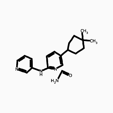 CC1(C)CCC(c2ccc(Nc3cccnc3)nc2)CC1.NC=O